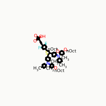 CCCCCCCCOc1ccc(N(c2ccc(C3SC(c4cc(F)c(C#Cc5c(O)c(=O)c5=O)c(F)c4)=CC3c3ccc(N(c4ccc(C)cc4C)c4ccc(OCCCCCCCC)cc4OCCCCCCCC)cc3)cc2)c2ccc(C)cc2C)c(C)c1